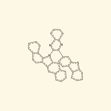 c1ccc2cc3c(cc2c1)c1ccc2ccccc2c1n3-c1nc2ccccc2nc1-c1ccc2c(c1)sc1ccccc12